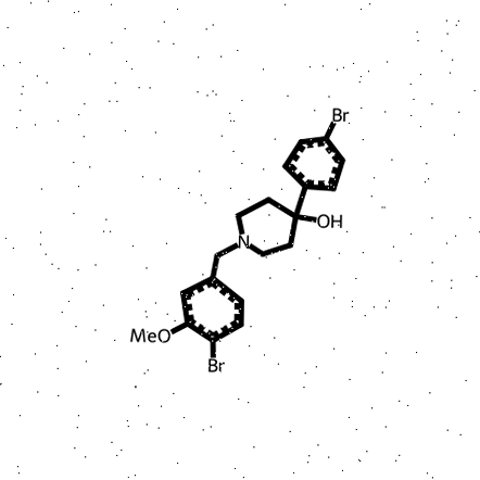 COc1cc(CN2CCC(O)(c3ccc(Br)cc3)CC2)ccc1Br